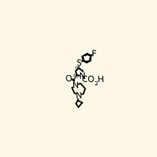 O=C([C@H]1C[C@H](Sc2ccc(F)cc2)CN1C(=O)O)N1CCCN(C2CCC2)CC1